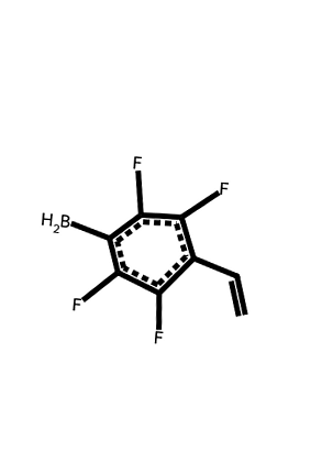 Bc1c(F)c(F)c(C=C)c(F)c1F